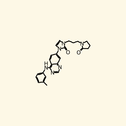 Cc1cccc(Nc2ncnc3cc(-n4ccn(CCCN5CCCC5=O)c4=O)ccc23)c1